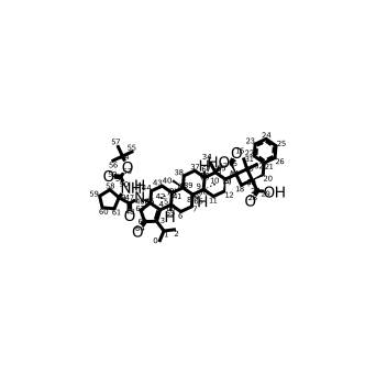 CC(C)C1=C2[C@H]3CC[C@@H]4[C@]5(C)CC[C@H]([C@@]6(C(=O)O)C[C@@](Cc7ccccc7)(C(=O)O)C6(C)C)C(C)(C)[C@H]5CC[C@@]4(C)[C@]3(C)CC[C@@]2(NC(=O)C2(NC(=O)OC(C)(C)C)CCCC2)CC1=O